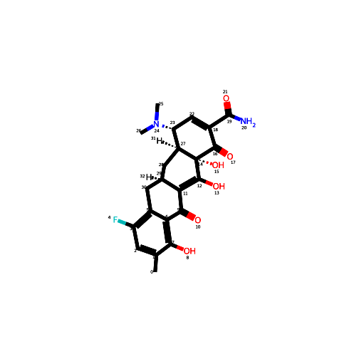 Cc1cc(F)c2c(c1O)C(=O)C1=C(O)[C@]3(O)C(=O)C(C(N)=O)=C[C@@H](N(C)C)[C@@H]3C[C@@H]1C2